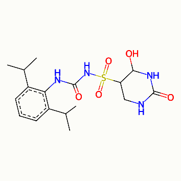 CC(C)c1cccc(C(C)C)c1NC(=O)NS(=O)(=O)C1CNC(=O)NC1O